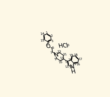 Cl.c1ccc(OCCN2CCC(c3c[nH]c4ccccc34)CC2)cc1